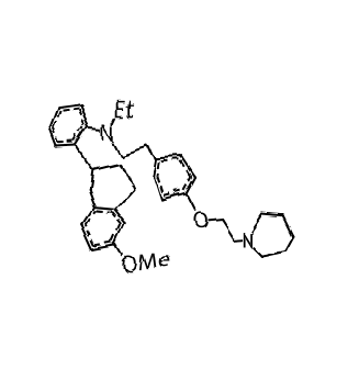 CCN(CCc1ccc(OCCN2CCCCC2)cc1)c1ccccc1C1CCc2cc(OC)ccc2C1